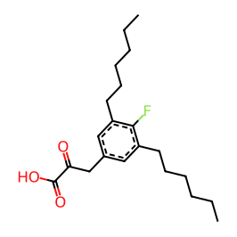 CCCCCCc1cc(CC(=O)C(=O)O)cc(CCCCCC)c1F